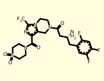 N[C@@H](CC(=O)N1CCn2c(C(F)(F)F)nc(C(=O)N3CCS(=O)(=O)CC3)c2C1)Cc1cc(F)c(F)cc1F